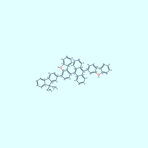 CC1(C)c2ccccc2-c2ccc(-c3ccc(-c4c5ccccc5c(-c5ccc6c(c5)oc5ccccc56)c5ccccc45)c4c3oc3ccccc34)cc21